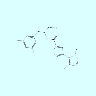 Cc1nnn(C)c1-c1csc(C(=O)N[C@H](CN)Cc2cc(F)cc(F)c2)c1